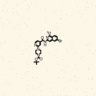 [2H]c1nc(NC(=O)c2ccnc(N3CCN(C(=O)OC(C)(C)C)CC3)c2)cc2cc(Br)ccc12